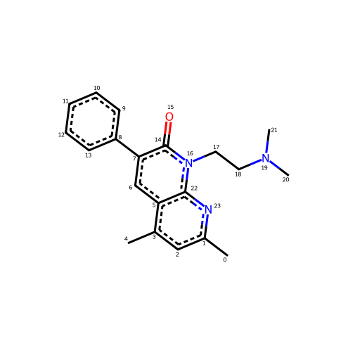 Cc1cc(C)c2cc(-c3ccccc3)c(=O)n(CCN(C)C)c2n1